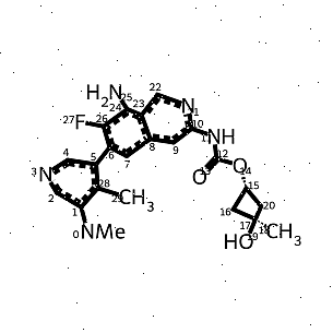 CNc1cncc(-c2cc3cc(NC(=O)O[C@H]4C[C@](C)(O)C4)ncc3c(N)c2F)c1C